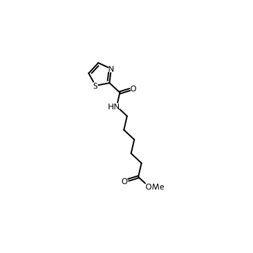 COC(=O)CCCCCNC(=O)c1nccs1